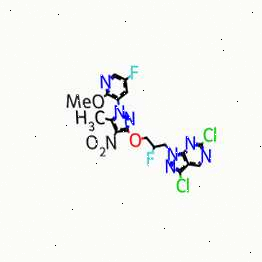 COc1ncc(F)cc1-n1nc(OCC(F)Cn2nc(Cl)c3cnc(Cl)nc32)c([N+](=O)[O-])c1C